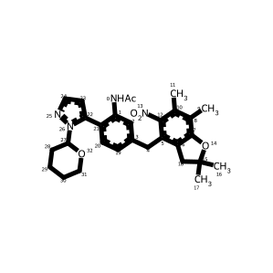 CC(=O)Nc1cc(Cc2c3c(c(C)c(C)c2[N+](=O)[O-])OC(C)(C)C3)ccc1-c1ccnn1C1CCCCO1